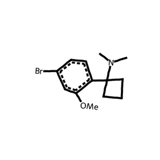 COc1cc(Br)ccc1C1(N(C)C)CCC1